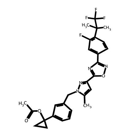 CC(=O)OC1(c2cccc(Cn3nc(-c4nc(-c5ccc(C(C)(C)C(F)(F)F)c(F)c5)no4)cc3C)c2)CC1